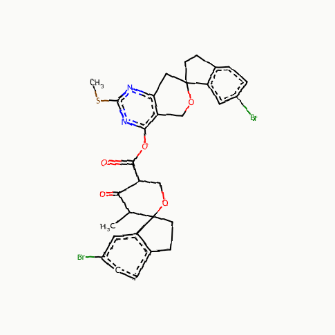 CSc1nc2c(c(OC(=O)C3COC4(CCc5ccc(Br)cc54)C(C)C3=O)n1)COC1(CCc3ccc(Br)cc31)C2